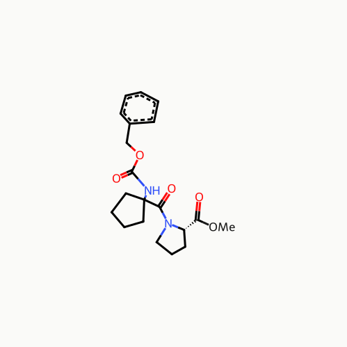 COC(=O)[C@@H]1CCCN1C(=O)C1(NC(=O)OCc2ccccc2)CCCC1